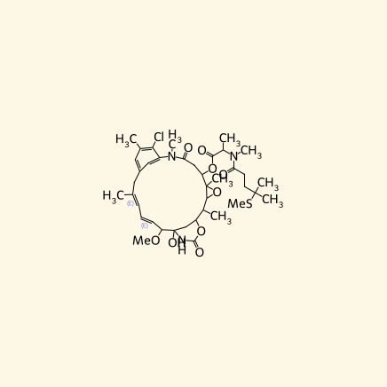 COC1/C=C/C=C(\C)Cc2cc(C)c(Cl)c(c2)N(C)C(=O)CC(OC(=O)C(C)N(C)C(=O)CCC(C)(C)SC)C2(C)OC2C(C)C2CC1(O)NC(=O)O2